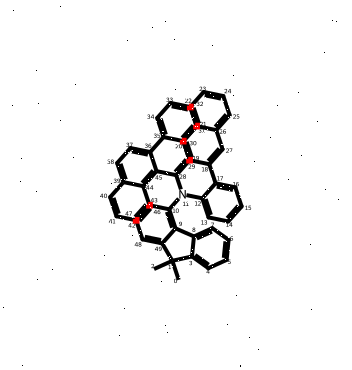 CC1(C)c2ccccc2-c2c(N(c3ccccc3-c3ccc4ccccc4c3)c3cc4ccccc4c4ccc5ccccc5c34)cccc21